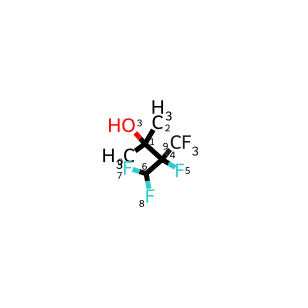 CC(C)(O)C(F)(C(F)F)C(F)(F)F